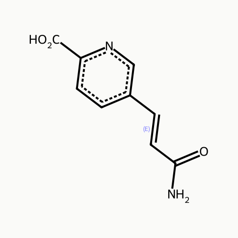 NC(=O)/C=C/c1ccc(C(=O)O)nc1